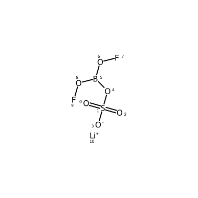 O=S(=O)([O-])OB(OF)OF.[Li+]